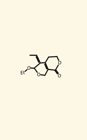 CC=C1C2=C(COC1OCC)C(=O)OCC2